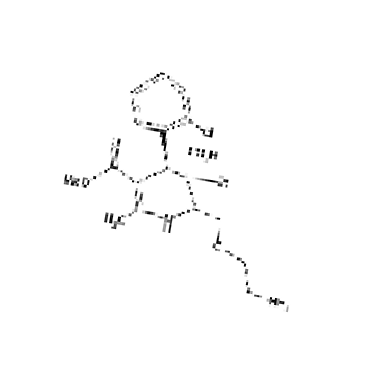 CCC1(C(=O)O)C(COCCN)NC(C)=C(C(=O)OC)[C@H]1c1ccccc1Cl